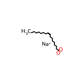 CCCCCCCC/C=C\CCCCCCCC(=O)[O-].[Na+]